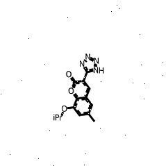 Cc1cc(OC(C)C)c2oc(=O)c(-c3nnn[nH]3)cc2c1